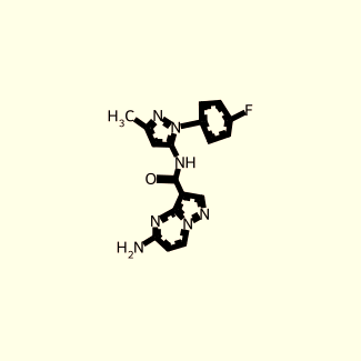 Cc1cc(NC(=O)c2cnn3ccc(N)nc23)n(-c2ccc(F)cc2)n1